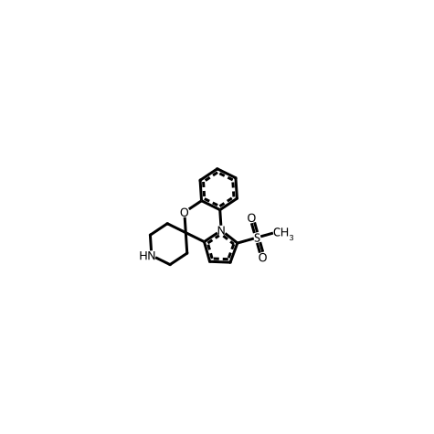 CS(=O)(=O)c1ccc2n1-c1ccccc1OC21CCNCC1